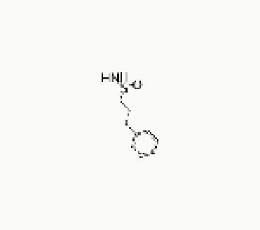 N=[SH](=O)CCCc1ccccc1